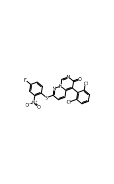 O=c1ncn2nc(Sc3ccc(F)cc3[N+](=O)[O-])ccc2c1-c1c(Cl)cccc1Cl